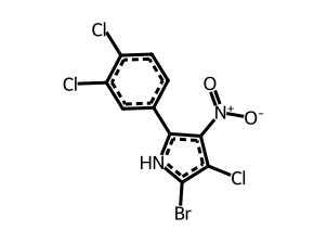 O=[N+]([O-])c1c(-c2ccc(Cl)c(Cl)c2)[nH]c(Br)c1Cl